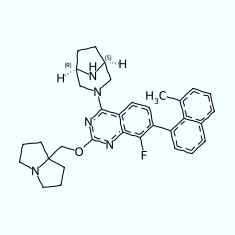 Cc1cccc2cccc(-c3ccc4c(N5C[C@H]6CC[C@@H](C5)N6)nc(OCC56CCCN5CCC6)nc4c3F)c12